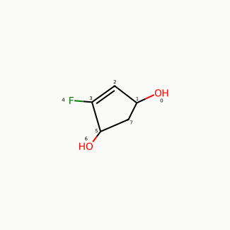 OC1C=C(F)C(O)C1